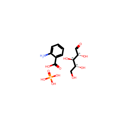 Nc1ccccc1C(=O)O.O=C[C@H](O)[C@H](O)[C@H](O)CO.O=P(O)(O)O